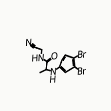 CC(Nc1ccc(Br)c(Br)c1)C(=O)NCC#N